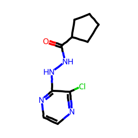 O=C(NNc1nccnc1Cl)C1CCCC1